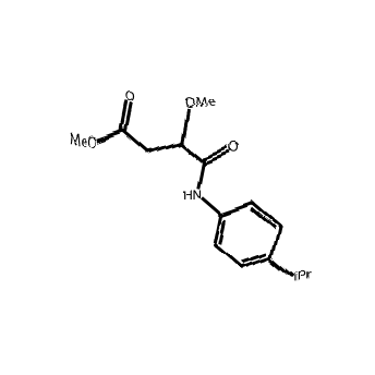 COC(=O)CC(OC)C(=O)Nc1ccc(C(C)C)cc1